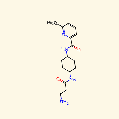 COc1cccc(C(=O)NC2CCC(NC(=O)CCN)CC2)n1